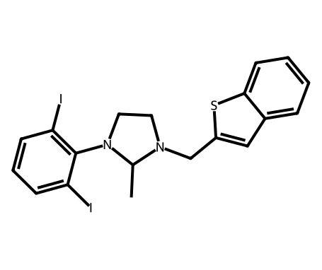 CC1N(Cc2cc3ccccc3s2)CCN1c1c(I)cccc1I